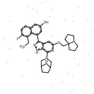 CCc1c(F)ccc2cc(O)cc(-c3n[nH]c4c(N5CC6CCC(C5)N6)nc(OCC56CCCN5CCC6)cc34)c12